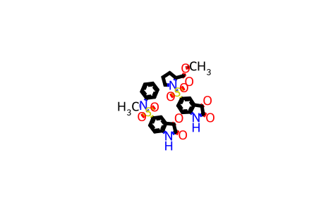 CN(c1ccccc1)S(=O)(=O)c1ccc2c(c1)C(=O)C(=O)N2.COC(=O)C1CCCN1S(=O)(=O)c1ccc2c(c1)C(=O)C(=O)N2